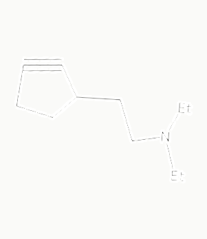 CCN(CC)CCC1C#CCC1